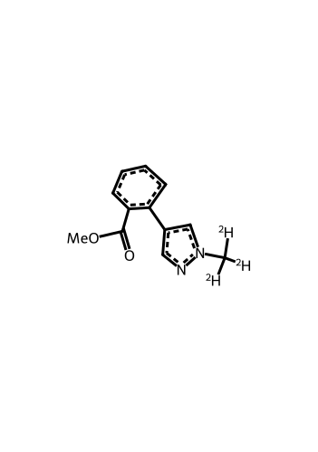 [2H]C([2H])([2H])n1cc(-c2ccccc2C(=O)OC)cn1